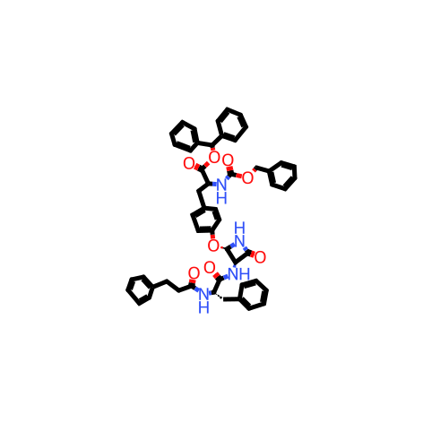 O=C(CCc1ccccc1)N[C@@H](Cc1ccccc1)C(=O)N[C@@H]1C(=O)N[C@H]1Oc1ccc(CC(NC(=O)OCc2ccccc2)C(=O)OC(c2ccccc2)c2ccccc2)cc1